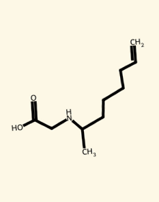 C=CCCCCC(C)NCC(=O)O